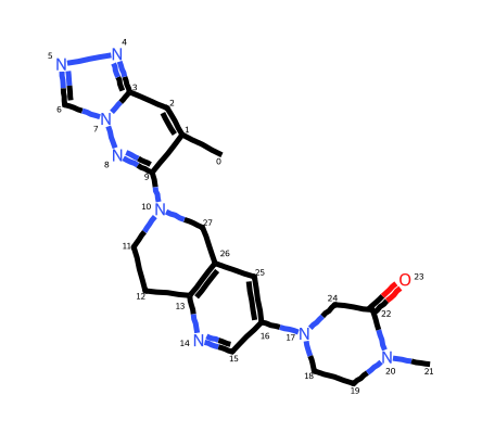 Cc1cc2nncn2nc1N1CCc2ncc(N3CCN(C)C(=O)C3)cc2C1